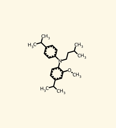 COc1cc(C(C)C)ccc1N(CCC(C)C)c1ccc(C(C)C)cc1